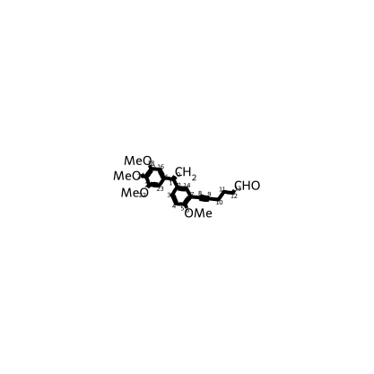 C=C(c1ccc(OC)c(C#CCCCC=O)c1)c1cc(OC)c(OC)c(OC)c1